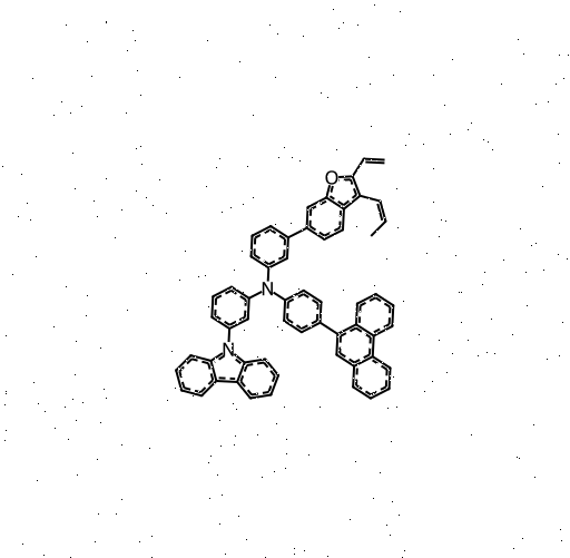 C=Cc1oc2cc(-c3cccc(N(c4ccc(-c5cc6ccccc6c6ccccc56)cc4)c4cccc(-n5c6ccccc6c6ccccc65)c4)c3)ccc2c1/C=C\C